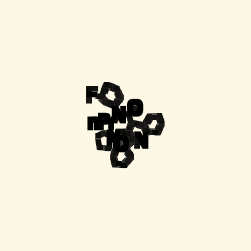 CCCN(C(=O)c1c(C[N+]2([O-])CCCC2)c(-c2ccccc2)nc2ccccc12)c1cccc(F)c1